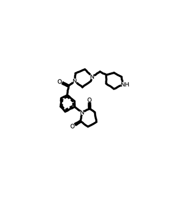 O=C(c1cccc(N2C(=O)CCCC2=O)c1)N1CCN(CC2CCNCC2)CC1